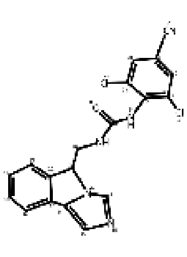 N#Cc1cc(Cl)c(NC(=O)NCC2c3ccccc3-c3cncn32)c(Cl)c1